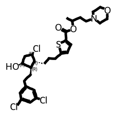 CC(CCN1CCOCC1)OC(=O)c1ccc(CCC[C@@H]2[C@@H](CCc3cc(Cl)cc(Cl)c3)[C@H](O)C[C@H]2Cl)s1